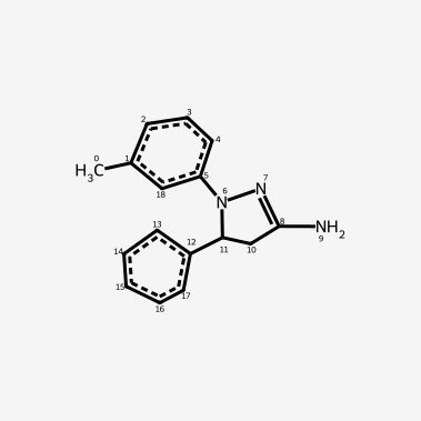 Cc1cccc(N2N=C(N)CC2c2ccccc2)c1